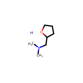 CN(C)CC1CCCO1.I